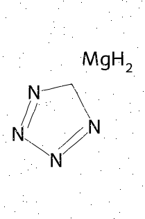 C1N=NN=N1.[MgH2]